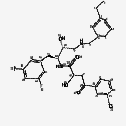 CCc1cccc(CNC[C@@H](O)[C@H](Cc2cc(F)cc(F)c2)NC(=O)C(O)CC(=O)c2cccc(Cl)c2)c1